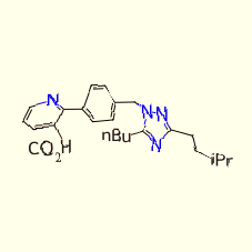 CCCCc1nc(CCC(C)C)nn1Cc1ccc(-c2ncccc2C(=O)O)cc1